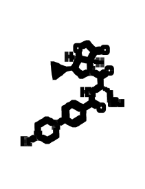 CCN1CCN(c2ccc(C(=O)N[C@@H](CC(C)(C)C)C(=O)N3C[C@@H](C4CC4)[C@H]4OCC(=O)[C@H]43)cc2)CC1